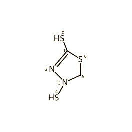 SC1=NN(S)CS1